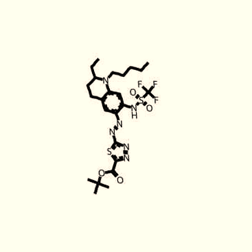 CCCCCN1c2cc(NS(=O)(=O)C(F)(F)F)c(N=Nc3nnc(C(=O)OC(C)(C)C)s3)cc2CCC1CC